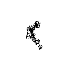 COCCc1ccc(OCC(O)CNCCN(SCCO[N+](=O)[O-])C(C)=O)cc1